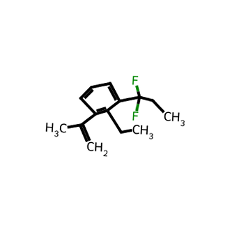 C=C(C)c1cccc(C(F)(F)CC)c1CC